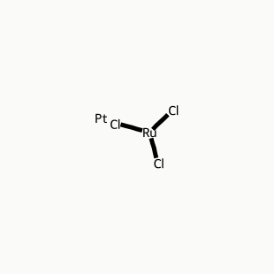 [Cl][Ru]([Cl])[Cl].[Pt]